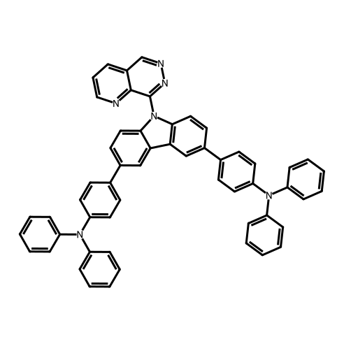 c1ccc(N(c2ccccc2)c2ccc(-c3ccc4c(c3)c3cc(-c5ccc(N(c6ccccc6)c6ccccc6)cc5)ccc3n4-c3nncc4cccnc34)cc2)cc1